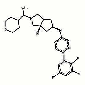 CC(C1CCOCC1)N1CC2C[C@@H](Nc3ccc(-c4cc(F)cc(F)c4F)nn3)C[C@@H]2C1